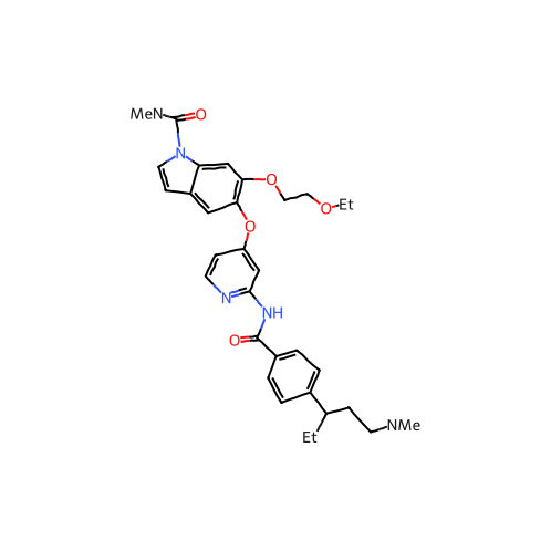 CCOCCOc1cc2c(ccn2C(=O)NC)cc1Oc1ccnc(NC(=O)c2ccc(C(CC)CCNC)cc2)c1